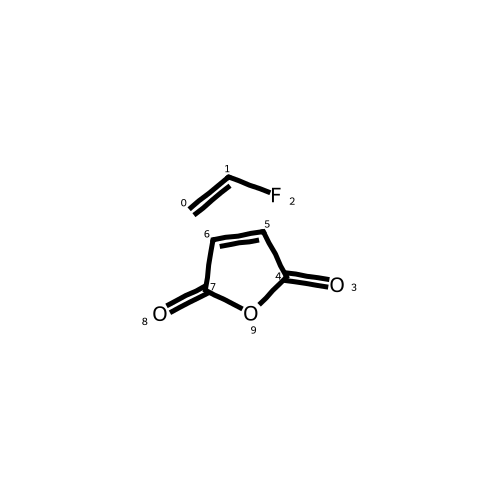 C=CF.O=C1C=CC(=O)O1